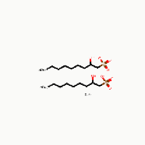 CCCCCCCCCCCCCCCCC(O)CS(=O)(=O)[O-].CCCCCCCCCCCCCCCCC(O)CS(=O)(=O)[O-].[Ca+2]